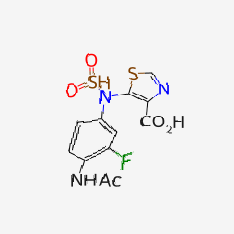 CC(=O)Nc1ccc(N(c2scnc2C(=O)O)[SH](=O)=O)cc1F